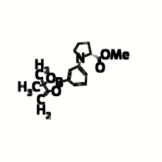 C=C1OB(c2cccc(N3CCC[C@@H]3C(=O)OC)c2)OC1(C)C